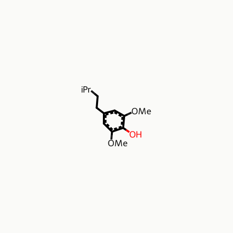 COc1cc(CCC(C)C)cc(OC)c1O